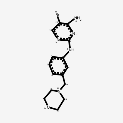 Nc1nc(Nc2cccc(CN3CCOCC3)c2)ncc1Br